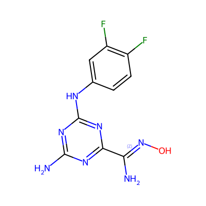 N/C(=N\O)c1nc(N)nc(Nc2ccc(F)c(F)c2)n1